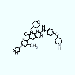 Cc1cc(-c2cnsc2)cnc1-c1cc2cnc(Nc3ccc(OC4CCNCC4)cc3)nc2n(CC2CCOCC2)c1=O